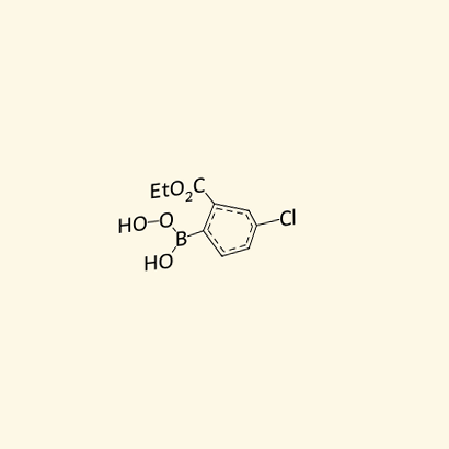 CCOC(=O)c1cc(Cl)ccc1B(O)OO